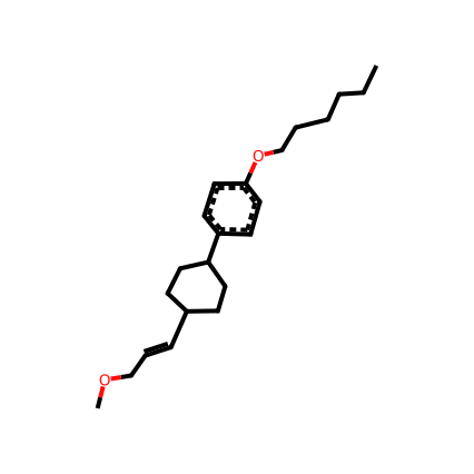 CCCCCCOc1ccc(C2CCC(/C=C/COC)CC2)cc1